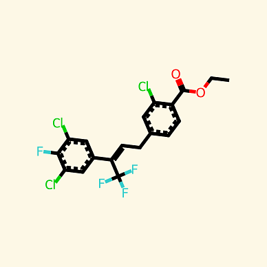 CCOC(=O)c1ccc(CC=C(c2cc(Cl)c(F)c(Cl)c2)C(F)(F)F)cc1Cl